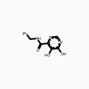 CC(C)CNC(=O)c1ncnc(O)c1O